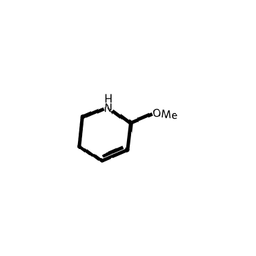 COC1C=CCCN1